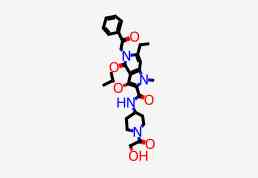 CCc1cc2c(c(OC(C)C)c(C(=O)NC3CCN(C(=O)CO)CC3)n2C)c(=O)n1CC(=O)c1ccccc1